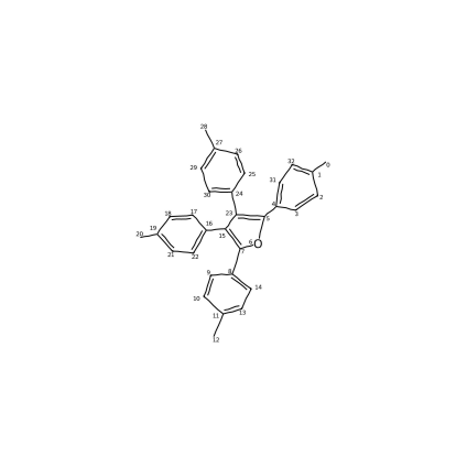 Cc1ccc(-c2oc(-c3ccc(C)cc3)c(-c3ccc(C)cc3)c2-c2ccc(C)cc2)cc1